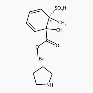 C1CCNC1.CC(C)(C)OC(=O)C1(C)C=CC=C[C@]1(C)S(=O)(=O)O